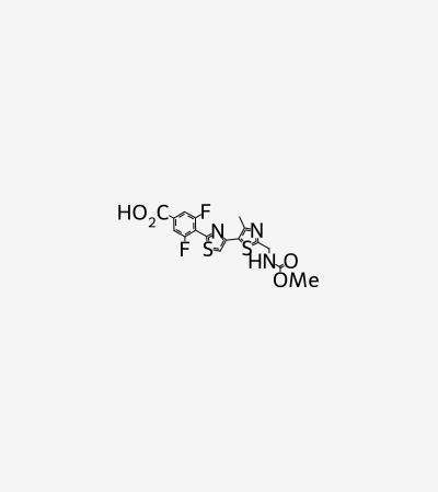 COC(=O)NCc1nc(C)c(-c2csc(-c3c(F)cc(C(=O)O)cc3F)n2)s1